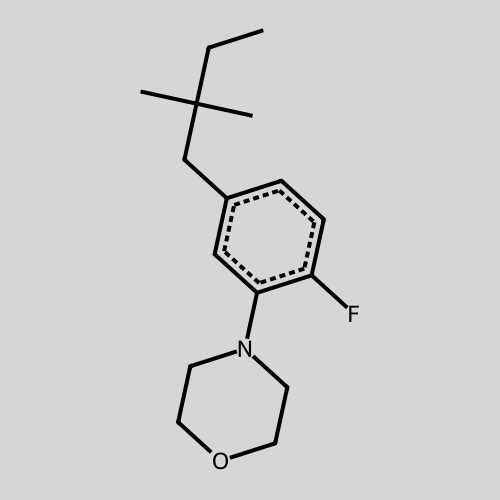 CCC(C)(C)Cc1ccc(F)c(N2CCOCC2)c1